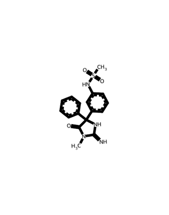 CN1C(=N)NC(c2ccccc2)(c2cccc(NS(C)(=O)=O)c2)C1=O